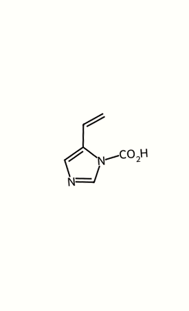 C=Cc1cncn1C(=O)O